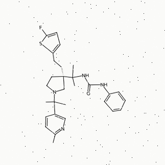 Cc1ccc(C(C)(C)N2CC[C@@](CCc3ccc(F)s3)(C(C)(C)NC(=O)Nc3ccccc3)C2)cn1